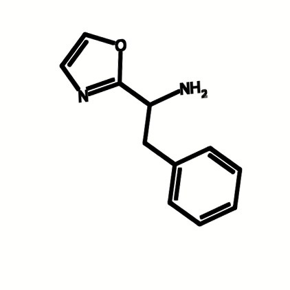 NC(Cc1ccccc1)c1ncco1